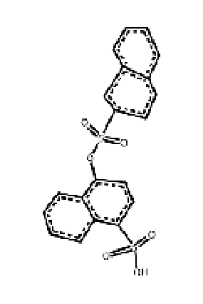 O=S(=O)(O)c1ccc(OS(=O)(=O)c2ccc3ccccc3c2)c2ccccc12